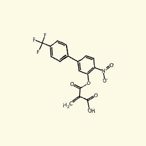 C=C(C(=O)O)C(=O)Oc1cc(-c2ccc(C(F)(F)F)cc2)ccc1[N+](=O)[O-]